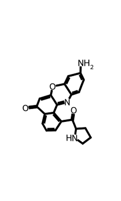 Nc1ccc2nc3c4c(C(=O)C5CCCN5)cccc4c(=O)cc-3oc2c1